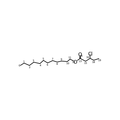 CCCCCCCCCCCCOC(=O)CC(Cl)CC